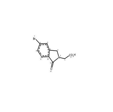 O=C(O)CN1Cc2cc(Br)cnc2C1=O